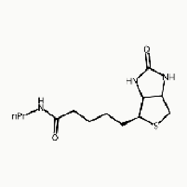 CCCNC(=O)CCCC[C@@H]1SCC2NC(=O)NC21